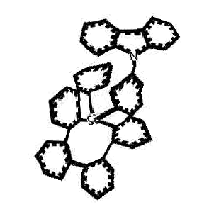 c1ccc([Si]2(c3cccc(-n4c5ccccc5c5ccccc54)c3)c3ccccc3-c3ccccc3-c3ccccc3-c3ccccc32)cc1